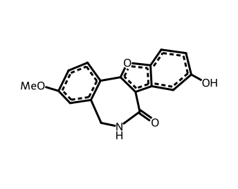 COc1ccc2c(c1)CNC(=O)c1c-2oc2ccc(O)cc12